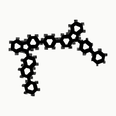 c1ccc(-c2ccc(-n3c4ccccc4c4cc(-c5ccc(-c6ccc7c8ccccc8n(-c8ccc9cc(-c%10ccccc%10)ccc9c8)c7c6)cc5)ccc43)cc2)cc1